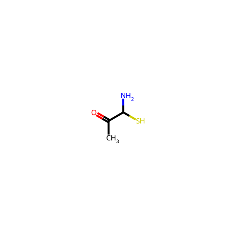 CC(=O)C(N)S